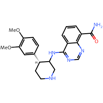 COc1ccc([C@H]2CCNCC2Nc2ncnc3c(C(N)=O)cccc23)cc1OC